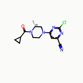 C[C@@H]1CN(c2cc(C#N)nc(Cl)n2)CCN1C(=O)C1CC1